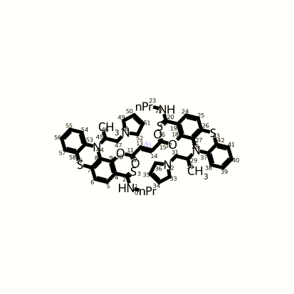 CCCNC(=S)c1ccc2c(c1OC(=O)/C=C/C(=O)Oc1c(C(=S)NCCC)ccc3c1N(C(C)CN1CC=CC1)c1ccccc1S3)N(C(C)CN1CC=CC1)c1ccccc1S2